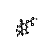 COC(=O)Oc1cc(Br)c(C(F)(F)F)[nH]c1=O